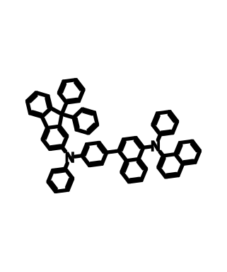 c1ccc(N(c2ccc(-c3ccc(N(c4ccccc4)c4cccc5ccccc45)c4ccccc34)cc2)c2ccc3c(c2)C(c2ccccc2)(c2ccccc2)c2ccccc2-3)cc1